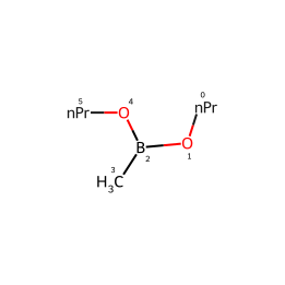 CCCOB(C)OCCC